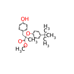 COC(=O)C(C)(Cc1ccc(O)cc1)Oc1ccc(C(C)(C)C)cc1